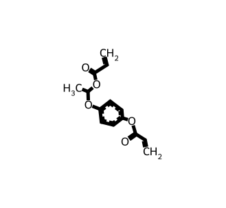 C=CC(=O)Oc1ccc(OC(C)OC(=O)C=C)cc1